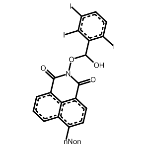 CCCCCCCCCc1ccc2c3c(cccc13)C(=O)N(OC(O)c1c(I)ccc(I)c1I)C2=O